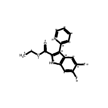 CCOC(=O)c1[nH]c2cc(F)c(F)cc2c1-c1ccccn1